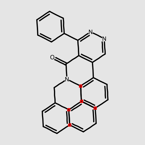 O=C(c1c(-c2ccccc2)cnnc1-c1ccccc1)N(Cc1ccccc1)Cc1ccccc1